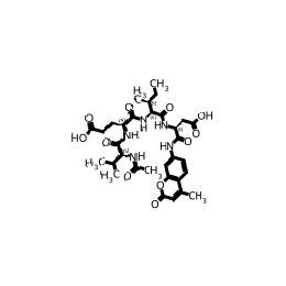 CC[C@H](C)[C@H](NC(=O)[C@H](CCC(=O)O)NC(=O)[C@@H](NC(C)=O)C(C)C)C(=O)N[C@@H](CC(=O)O)C(=O)Nc1ccc2c(C)cc(=O)oc2c1